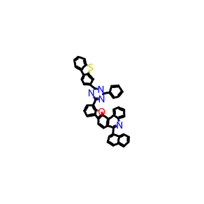 c1ccc(-c2nc(-c3ccc4c(c3)sc3ccccc34)nc(-c3cccc4c3oc3c4ccc4c(-c5cccc6ccccc56)nc5ccccc5c43)n2)cc1